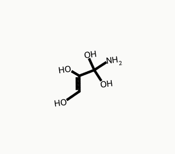 NC(O)(O)C(O)=CO